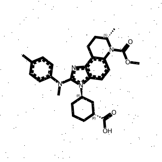 COC(=O)N1c2ccc3c(nc(N(C)c4ccc(C)cc4)n3[C@@H]3CCC[C@@H](C(=O)O)C3)c2CC[C@@H]1C